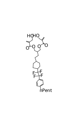 C=C(CO)C(=O)OCC(CCC1CCC(C(F)(F)C(F)(F)c2ccc(CCCCC)cc2)CC1)COC(=O)C(=C)CO